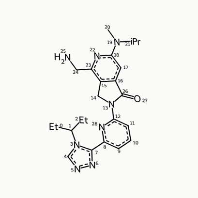 CCC(CC)n1cnnc1-c1cccc(N2Cc3c(cc(N(C)C(C)C)nc3CN)C2=O)n1